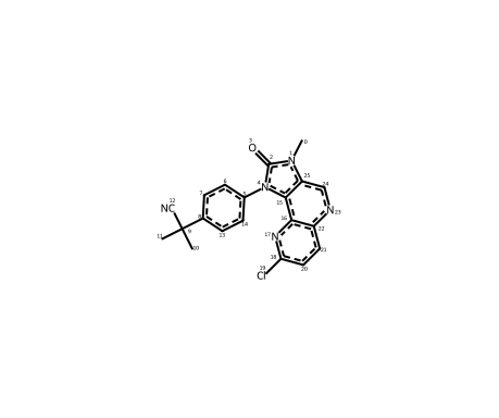 Cn1c(=O)n(-c2ccc(C(C)(C)C#N)cc2)c2c3nc(Cl)ccc3ncc21